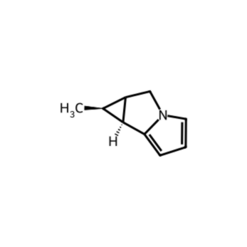 C[C@H]1C2Cn3cccc3[C@H]21